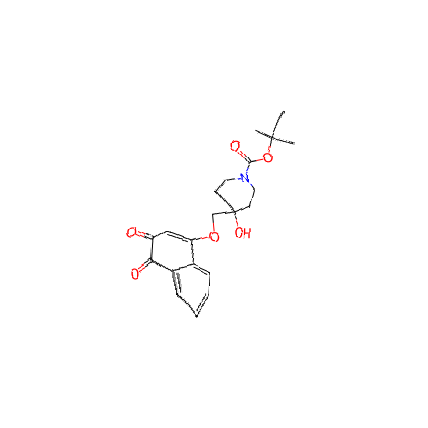 CC(C)(C)OC(=O)N1CCC(O)(COC2=CC(=O)C(=O)c3ccccc32)CC1